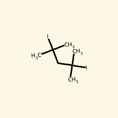 CC(C)(I)CC(C)(C)I